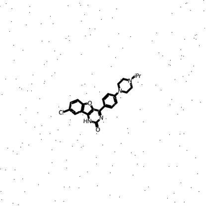 CC(C)N1CCN(c2ccc(-c3nc(=O)[nH]c4c3oc3ccc(Cl)cc34)cc2)CC1